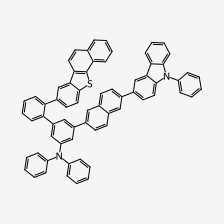 c1ccc(N(c2ccccc2)c2cc(-c3ccc4cc(-c5ccc6c(c5)c5ccccc5n6-c5ccccc5)ccc4c3)cc(-c3ccccc3-c3ccc4sc5c6ccccc6ccc5c4c3)c2)cc1